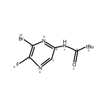 CC(C)(C)C(=O)Nc1cnc(F)c(Br)n1